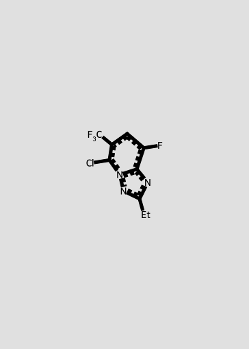 CCc1nc2c(F)cc(C(F)(F)F)c(Cl)n2n1